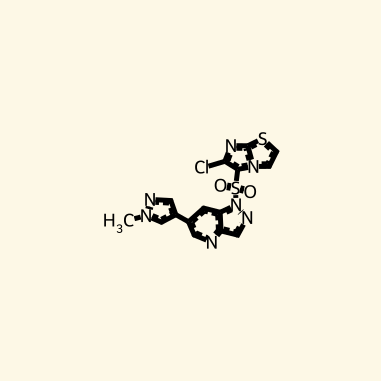 Cn1cc(-c2cnc3cnn(S(=O)(=O)c4c(Cl)nc5sccn45)c3c2)cn1